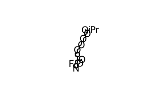 CC(C)C(=O)OCCOCCOCCOc1ccc(-c2cc3c(F)cncc3oc2=O)cc1